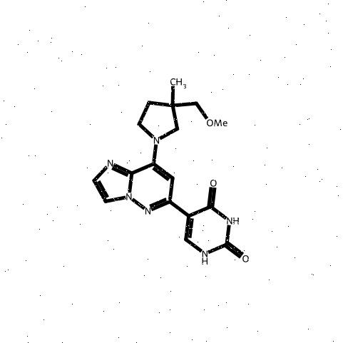 COCC1(C)CCN(c2cc(-c3c[nH]c(=O)[nH]c3=O)nn3ccnc23)C1